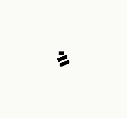 C=O.C=O.[KH]